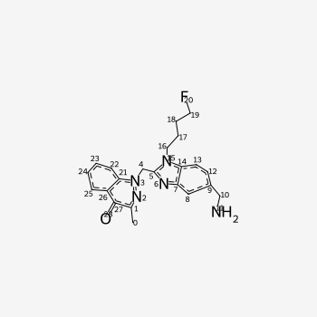 Cc1nn(Cc2nc3cc(CN)ccc3n2CCCCF)c2ccccc2c1=O